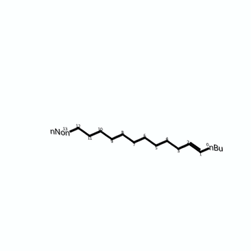 [CH2]CCCC=CCCCCCCCCCCCCCCCCCC[CH2]